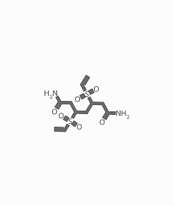 C=CS(=O)(=O)C(CC(N)=O)CC(CC(N)=O)S(=O)(=O)C=C